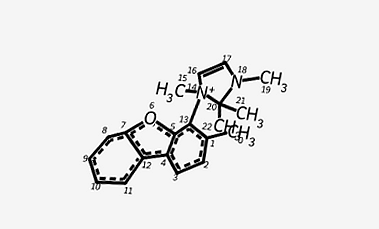 Cc1ccc2c(oc3ccccc32)c1[N+]1(C)C=CN(C)C1(C)C